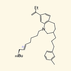 C=C(CC)c1ccc2c(c1)N(CCCC/C=C/C[C@H](C)CC)CC(CCCc1cccc(C)c1)CC2